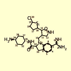 N=C(N)c1ccc2c(c1)N(CC1CNOC1C1CCC(Cl)S1)C(C(=O)N[C@H]1CC[C@H](N)CC1)C2